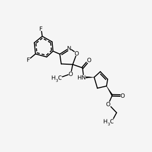 CCOC(=O)[C@@H]1C=C[C@H](NC(=O)C2(OC)CC(c3cc(F)cc(F)c3)=NO2)C1